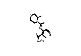 C\N=C/C(/N=C(\C)N1CCOC[C@H]1C)=C(\C)C(=O)OC